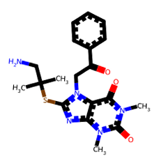 Cn1c(=O)c2c(nc(SC(C)(C)CN)n2CC(=O)c2ccccc2)n(C)c1=O